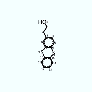 OCCc1ccc2c(c1)Sc1ccccc1S2